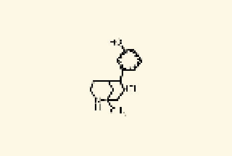 CC12CCC(c3cccc(O)c3)C(CCN1)C2.Cl